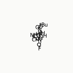 CC(C)(C)OC(=O)N1C[C@@H]2[C@H](C1)[C@@H]2Oc1cc(C(C)(CN)C(=O)O)cc(-c2ccc(F)cc2)n1